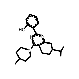 CC1CCN(c2nc(-c3ccccc3O)nc3c2CCC(C(C)C)C3)CC1